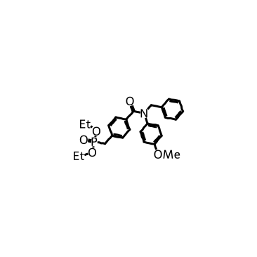 CCOP(=O)(Cc1ccc(C(=O)N(Cc2ccccc2)c2ccc(OC)cc2)cc1)OCC